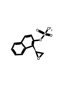 O=S(=O)(Oc1ccc2ccccc2c1[C@H]1CO1)C(F)(F)F